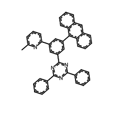 Cc1cccc(-c2cc(-c3nc(-c4ccccc4)nc(-c4ccccc4)n3)cc(-c3c4ccccc4cc4ccccc34)c2)n1